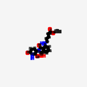 CC(C)(C)OC(=O)CCCCNc1cccc2c1C(=O)N(C1CCC(=O)NC1=O)C2O